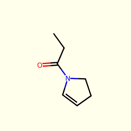 CCC(=O)N1C=CCC1